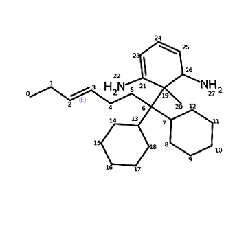 CC/C=C/CCC(C1CCCCC1)(C1CCCCC1)C1(C)C(N)=CC=CC1N